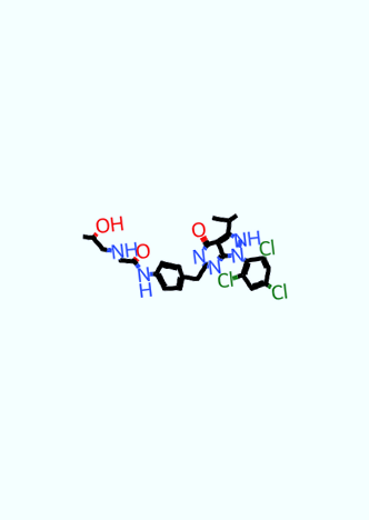 CC(O)CNCC(=O)Nc1ccc(Cc2nc3n(-c4c(Cl)cc(Cl)cc4Cl)[nH]c(C(C)C)c-3c(=O)n2)cc1